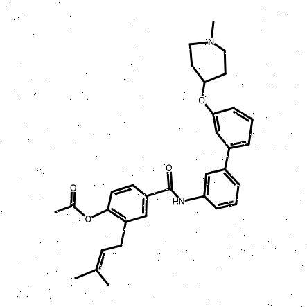 CC(=O)Oc1ccc(C(=O)Nc2cccc(-c3cccc(OC4CCN(C)CC4)c3)c2)cc1CC=C(C)C